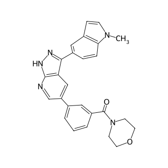 Cn1ccc2cc(-c3n[nH]c4ncc(-c5cccc(C(=O)N6CCOCC6)c5)cc34)ccc21